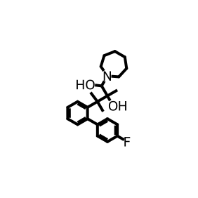 CC(C)(c1ccccc1-c1ccc(F)cc1)C(C)(O)C(O)N1CCCCCC1